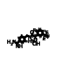 CO[C@H](C(=O)NCc1ccc(C(=N)N)cc1)c1cc(C(F)(F)F)ccc1F.Cl